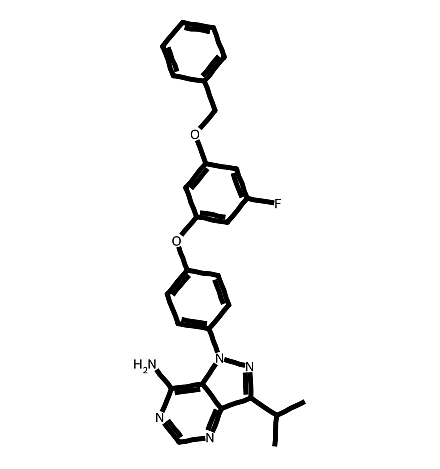 CC(C)c1nn(-c2ccc(Oc3cc(F)cc(OCc4ccccc4)c3)cc2)c2c(N)ncnc12